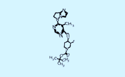 Cc1c(OC2CCN(C(=O)OC(C)(C)C)CC2F)ncnc1N1CCc2nccn21